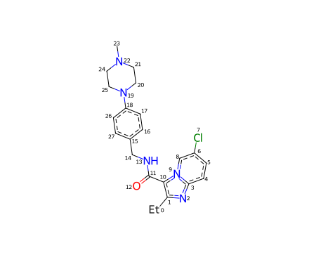 CCc1nc2ccc(Cl)cn2c1C(=O)NCc1ccc(N2CCN(C)CC2)cc1